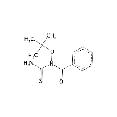 CC(C)(C)ON(C(=O)c1ccccc1)C(N)=S